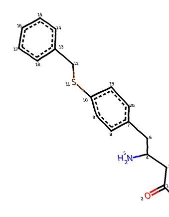 NC(=O)CC(N)Cc1ccc(SCc2ccccc2)cc1